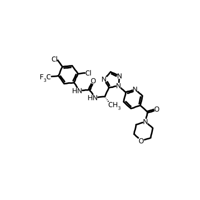 C[C@H](NC(=O)Nc1cc(C(F)(F)F)c(Cl)cc1Cl)c1ncnn1-c1ccc(C(=O)N2CCOCC2)cn1